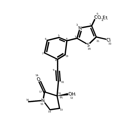 CCOC(=O)c1nc(-c2cccc(C#C[C@]3(O)CCN(C)C3=O)c2)sc1Cl